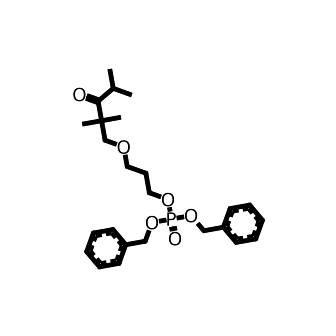 CC(C)C(=O)C(C)(C)COCCCOP(=O)(OCc1ccccc1)OCc1ccccc1